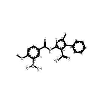 COc1ccc(C(=O)Nc2sc(C)c(-c3ccccc3)c2C(N)=O)cc1[NH+]([O-])O